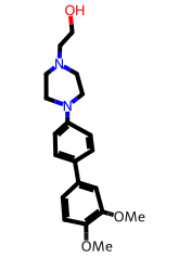 COc1ccc(-c2ccc(N3CCN(CCO)CC3)cc2)cc1OC